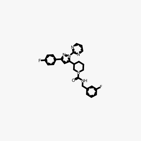 O=C(NCc1cccc(F)c1)N1CCCC(c2cc(-c3ccc(F)cc3)nn2-c2ncccn2)C1